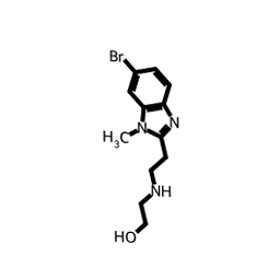 Cn1c(CCNCCO)nc2ccc(Br)cc21